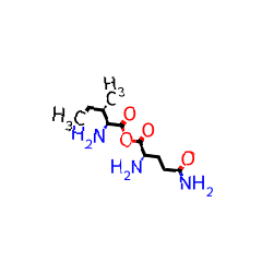 CC[C@H](C)[C@H](N)C(=O)OC(=O)[C@@H](N)CCC(N)=O